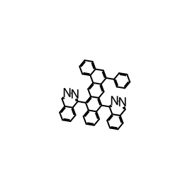 c1ccc(-c2cc3ccccc3c3cc4c(-c5nncc6ccccc56)c5ccccc5c(-c5nncc6ccccc56)c4cc23)cc1